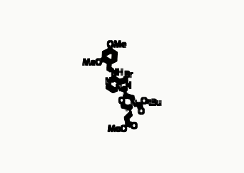 COC(=O)CC[C@@H]1CO[C@@H](c2nc(Br)c3c(NCc4ccc(OC)cc4OC)nccn23)CN1C(=O)OC(C)(C)C